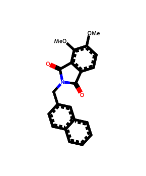 COc1ccc2c(c1OC)C(=O)N(Cc1ccc3ccccc3c1)C2=O